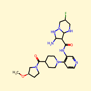 CO[C@@H]1CCN(C(=O)C2CCN(c3ccncc3NC(=O)C3C(N)NN4CC(F)CNC34)CC2)C1